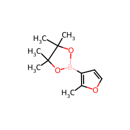 Cc1occc1B1OC(C)(C)C(C)(C)O1